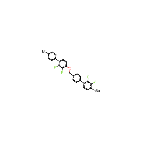 CCCCc1ccc(-c2ccc(COc3ccc(-c4ccc(CC)cc4)c(F)c3F)cc2)c(F)c1F